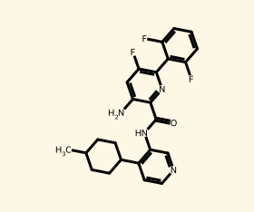 CC1CCC(c2ccncc2NC(=O)c2nc(-c3c(F)cccc3F)c(F)cc2N)CC1